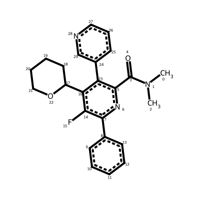 CN(C)C(=O)c1nc(-c2ccccc2)c(F)c(C2CCCCO2)c1-c1cccnc1